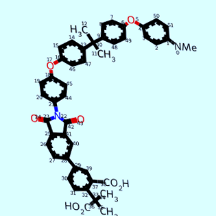 CNc1ccc(Oc2ccc(C(C)(C)c3ccc(Oc4ccc(N5C(=O)c6ccc(-c7ccc(C(C)(C)C(=O)O)c(C(=O)O)c7)cc6C5=O)cc4)cc3)cc2)cc1